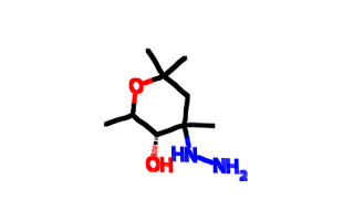 CC1OC(C)(C)CC(C)(NN)[C@@H]1O